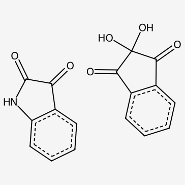 O=C1Nc2ccccc2C1=O.O=C1c2ccccc2C(=O)C1(O)O